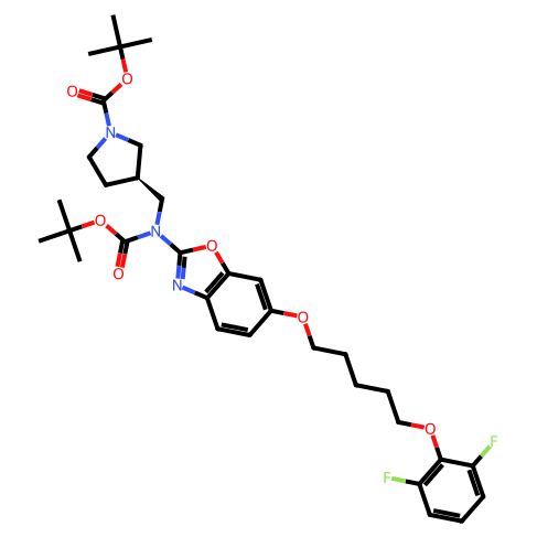 CC(C)(C)OC(=O)N1CC[C@H](CN(C(=O)OC(C)(C)C)c2nc3ccc(OCCCCCOc4c(F)cccc4F)cc3o2)C1